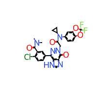 CN(C)C(=O)c1cc(-c2nn(CC(=O)N(c3ccc4c(c3)OC(F)(F)O4)C3CC3)c(=O)c3nc[nH]c23)ccc1Cl